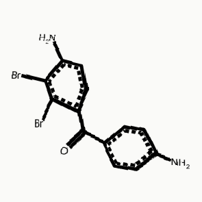 Nc1ccc(C(=O)c2ccc(N)c(Br)c2Br)cc1